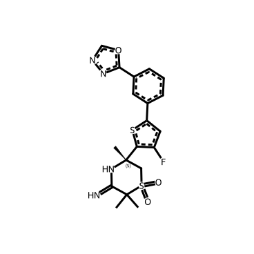 CC1(C)C(=N)N[C@](C)(c2sc(-c3cccc(-c4nnco4)c3)cc2F)CS1(=O)=O